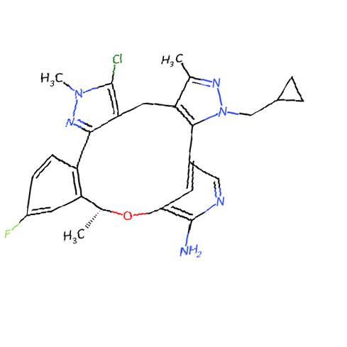 Cc1nn(CC2CC2)c2c1Cc1c(nn(C)c1Cl)-c1ccc(F)cc1[C@@H](C)Oc1cc-2cnc1N